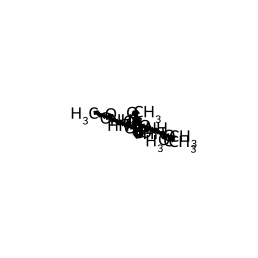 CCCCOC(=O)CNCCNC(=O)Oc1c2ccccc2c(OC(=O)NCCNCC(=O)OC(C)(C)C)c2cc(C(C)=O)oc12